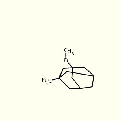 COC12CC3CC(CC(C)(C3)C1)C2